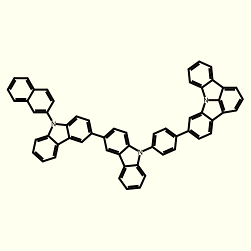 c1ccc2cc(-n3c4ccccc4c4cc(-c5ccc6c(c5)c5ccccc5n6-c5ccc(-c6ccc7c8cccc9c%10ccccc%10n(c7c6)c98)cc5)ccc43)ccc2c1